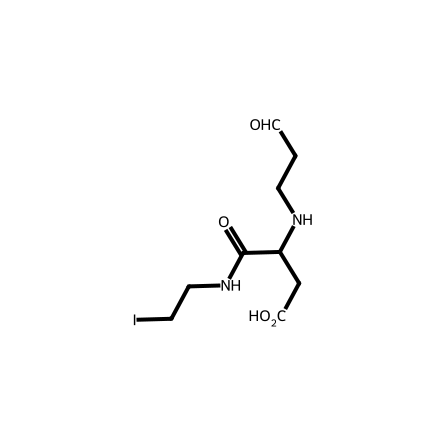 O=CCCNC(CC(=O)O)C(=O)NCCI